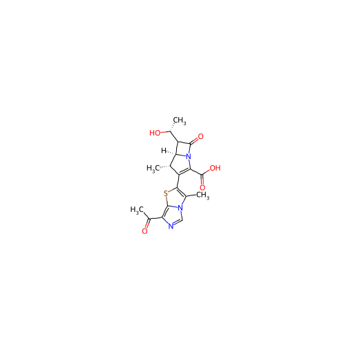 CC(=O)c1ncn2c(C)c(C3=C(C(=O)O)N4C(=O)C([C@@H](C)O)[C@@H]4[C@H]3C)sc12